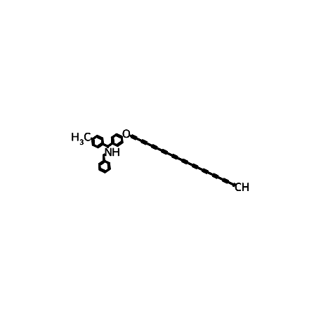 C#CC#CC#CC#CC#CC#CC#CC#CC#CC#CC#COc1ccc(C(NCc2ccccc2)c2ccc(C)cc2)cc1